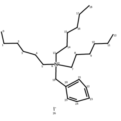 CCCCCC[N+](CCCCCC)(CCCCCC)Cc1ccccc1.[I-]